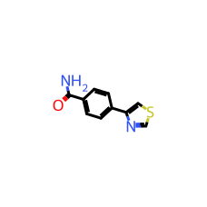 NC(=O)c1ccc(-c2cscn2)cc1